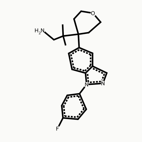 CC(C)(CN)C1(c2ccc3c(cnn3-c3ccc(F)cc3)c2)CCOCC1